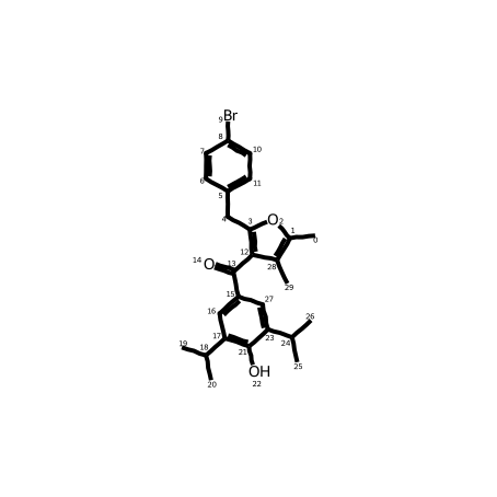 Cc1oc(Cc2ccc(Br)cc2)c(C(=O)c2cc(C(C)C)c(O)c(C(C)C)c2)c1C